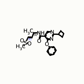 C[C@@H](/C=C/S(C)(=O)=O)NC(=O)c1cnc(C2CCC2)nc1Oc1ccccc1